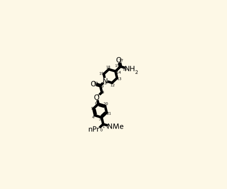 CCCC(NC)c1ccc(OCC(=O)N2CCC(C(N)=O)CC2)cc1